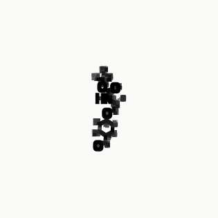 C[C@H](COC1CCC(C=O)CC1)NC(=O)OC(C)(C)C